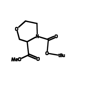 COC(=O)C1COCCN1C(=O)OC(C)(C)C